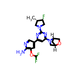 C[C@H]1CN(c2nc(-c3cnc(N)c(OC(F)F)c3)cc(N3C[C@@H]4C[C@H]3CO4)n2)C[C@H]1F